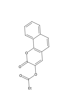 CCC(=O)Oc1cc2ccc3ccccc3c2oc1=O